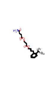 CCCCC(CCC)c1ccccc1CCCCOC(=O)CCOC(=O)CCC(N)=O